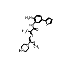 C=N/C(=C\N=C(/C)C(=O)Nc1cc(-c2cccs2)ccc1N)N1CCNCC1